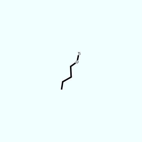 CCCC[O][Ti]